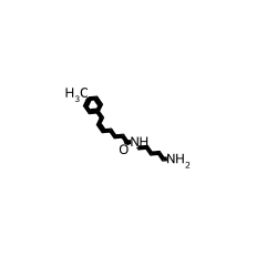 Cc1ccc(C/C=C\CCCC(=O)NCCCCCN)cc1